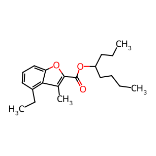 CCCCC(CCC)OC(=O)c1oc2cccc(CC)c2c1C